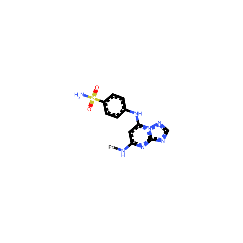 CC(C)Nc1cc(Nc2ccc(S(N)(=O)=O)cc2)n2ncnc2n1